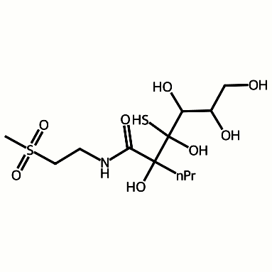 CCCC(O)(C(=O)NCCS(C)(=O)=O)C(O)(S)C(O)C(O)CO